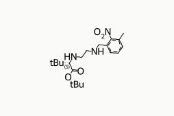 Cc1cccc(CNCCN[C@H](C(=O)OC(C)(C)C)C(C)(C)C)c1[N+](=O)[O-]